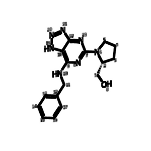 OC[C@H]1CCCN1c1nc(NCc2ccccc2)c2[nH]nnc2n1